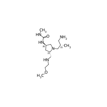 CNC(=O)N[C@@H]1C[C@@H](CNCCOC)N(C[C@@H](C)CN)C1